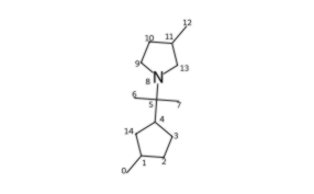 CC1CCC(C(C)(C)N2CCC(C)C2)C1